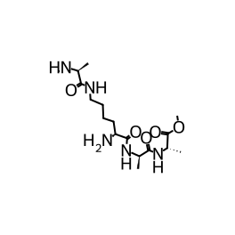 CN[C@@H](C)C(=O)NCCCC[C@H](N)C(=O)N[C@H](C)C(=O)N[C@@H](C)C(=O)OC